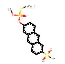 CCCCCSP(=O)(OCC)Oc1ccc2cc3cc(S(=O)(=O)CCC)ccc3cc2c1